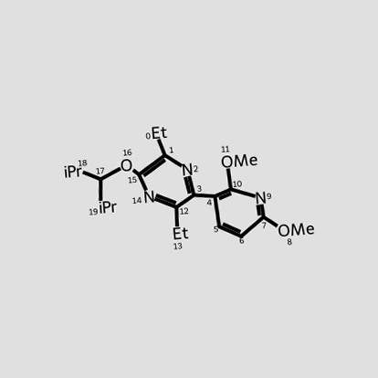 CCc1nc(-c2ccc(OC)nc2OC)c(CC)nc1OC(C(C)C)C(C)C